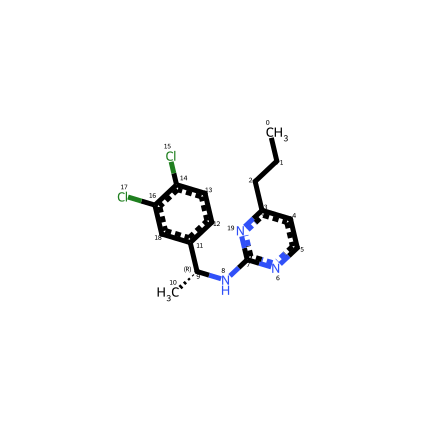 C[CH]Cc1ccnc(N[C@H](C)c2ccc(Cl)c(Cl)c2)n1